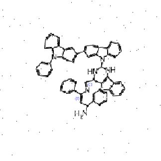 NC(/C=C(\N=C\C1NC(n2c3ccccc3c3ccc(-c4ccc5c(c4)c4ccccc4n5-c4ccccc4)cc32)Nc2c1sc1ccccc21)c1ccccc1)c1ccccc1